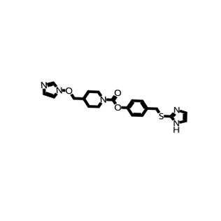 O=C(Oc1ccc(CSc2ncc[nH]2)cc1)N1CCC(COn2ccnc2)CC1